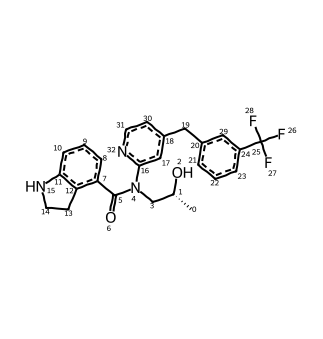 C[C@@H](O)CN(C(=O)c1cccc2c1CCN2)c1cc(Cc2cccc(C(F)(F)F)c2)ccn1